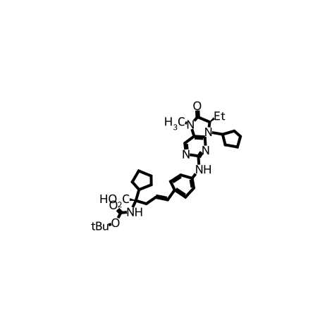 CC[C@@H]1C(=O)N(C)c2cnc(Nc3ccc(C=CC[C@@](NC(=O)OC(C)(C)C)(C(=O)O)C4CCCC4)cc3)nc2N1C1CCCC1